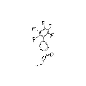 CCOC(=O)c1ccc(-c2c(F)c(F)c(F)c(F)c2F)cc1